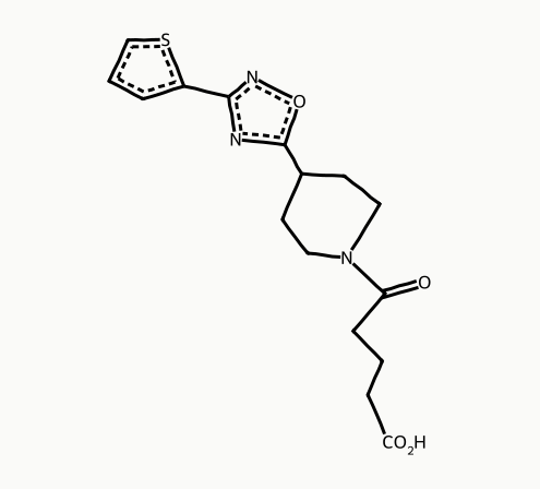 O=C(O)CCCC(=O)N1CCC(c2nc(-c3cccs3)no2)CC1